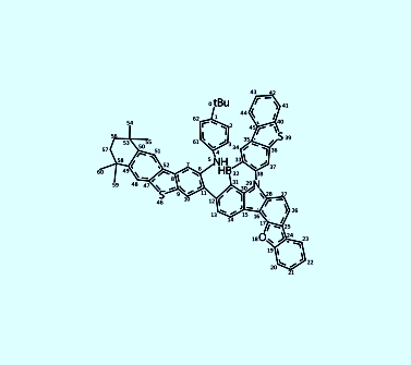 CC(C)(C)c1ccc(Nc2cc3c(cc2-c2ccc4c5c6oc7ccccc7c6ccc5n5c4c2Bc2cc4c(cc2-5)sc2ccccc24)sc2cc4c(cc23)C(C)(C)CCC4(C)C)cc1